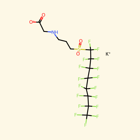 O=C([O-])CNCCCS(=O)(=O)C(F)(F)C(F)(F)C(F)(F)C(F)(F)C(F)(F)C(F)(F)C(F)(F)C(F)(F)F.[K+]